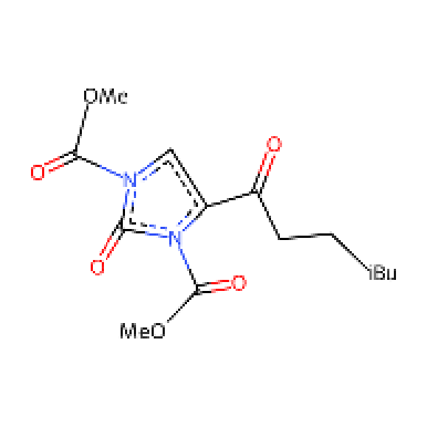 CCC(C)CCC(=O)c1cn(C(=O)OC)c(=O)n1C(=O)OC